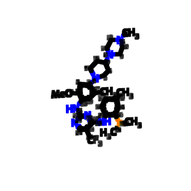 COc1cc(N2CCC(N3CCN(C)CC3)CC2)c(C)cc1Nc1ncc(C(F)(F)F)c(Nc2ccc(C)cc2P(C)C)n1